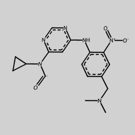 CN(C)Cc1ccc(Nc2cc(N([C]=O)C3CC3)ncn2)c([N+](=O)[O-])c1